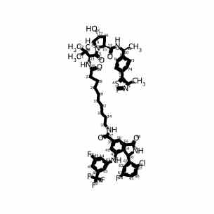 Cc1ncsc1-c1ccc([C@H](C)NC(=O)[C@@H]2C[C@@H](O)CN2C(=O)[C@@H](NC(=O)CCCCCCCCCNC(=O)c2cc(Nc3cc(F)cc(C(F)(F)F)c3)c3c(c2)C(=O)NC3c2cc(F)ccc2Cl)C(C)(C)C)cc1